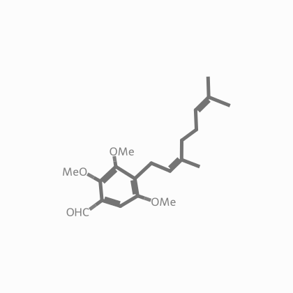 COc1cc(C=O)c(OC)c(OC)c1CC=C(C)CCC=C(C)C